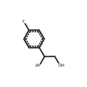 CC(C)C(CO)c1ccc(F)cc1